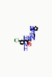 C[C@H](Nc1nccc(-n2cnc3c2CCC3)n1)c1cc2cc(Cl)ccc2[nH]c1=O